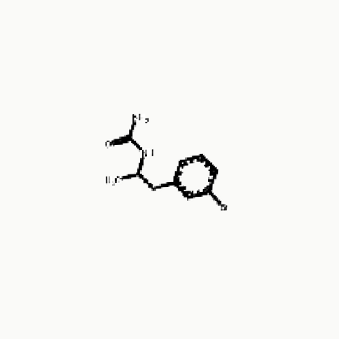 CC(Cc1cccc(Br)c1)NC(N)=O